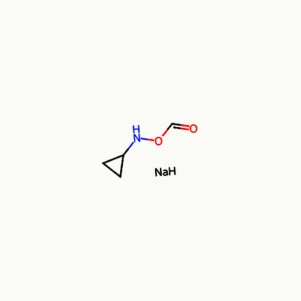 O=CONC1CC1.[NaH]